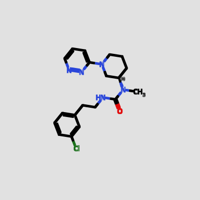 CN(C(=O)NCCc1cccc(Cl)c1)[C@@H]1CCCN(c2cccnn2)C1